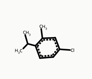 Cc1cc(Cl)ccc1C(C)C